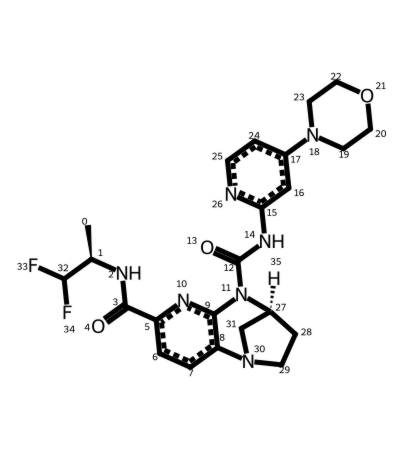 C[C@@H](NC(=O)c1ccc2c(n1)N(C(=O)Nc1cc(N3CCOCC3)ccn1)[C@H]1CCN2C1)C(F)F